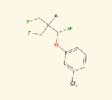 CC(=O)C(CF)(CF)C(Br)Oc1cccc(C(F)(F)F)c1